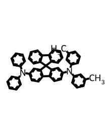 Cc1cccc(N(c2cccc(C)c2)c2ccc3c(c2)C2(c4ccccc4-c4ccccc42)c2cc(N(c4ccccc4)c4ccccc4)ccc2-3)c1